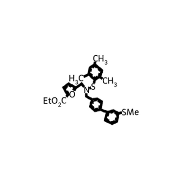 CCOC(=O)c1ccc(CN(Cc2ccc(-c3cccc(SC)c3)cc2)Sc2c(C)cc(C)cc2C)o1